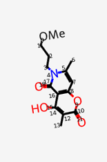 COCCCn1c(C)cc2oc(=O)c(C)c(O)c2c1=O